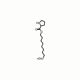 CCCCCCCCCCCCCCCCCCOC(=O)C1CCCN1